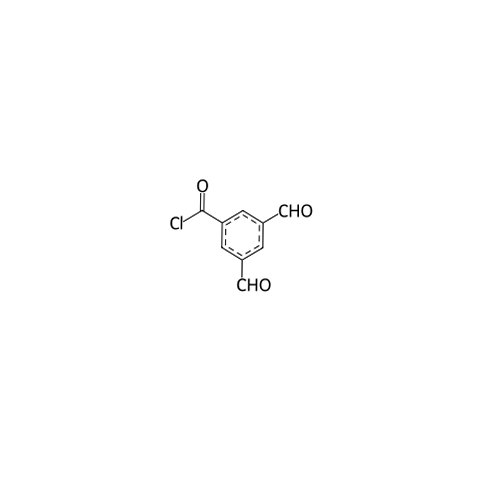 O=Cc1cc(C=O)cc(C(=O)Cl)c1